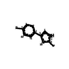 Cc1ccc(-c2c[nH]c(C)n2)cc1